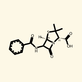 CC1(C)S[C@@H]2C(NC(=O)c3ccccc3)C(=O)N2[C@H]1C(=O)O